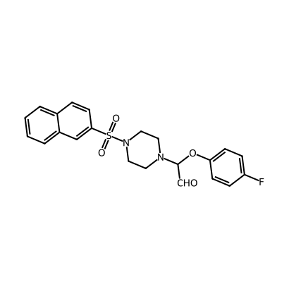 O=CC(Oc1ccc(F)cc1)N1CCN(S(=O)(=O)c2ccc3ccccc3c2)CC1